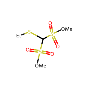 CCSC(S(=O)(=O)OC)S(=O)(=O)OC